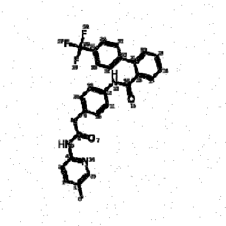 Cc1ccc(NC(=O)Cc2ccc(NC(=O)c3ccccc3-c3ccc(C(F)(F)F)cc3)cc2)nc1